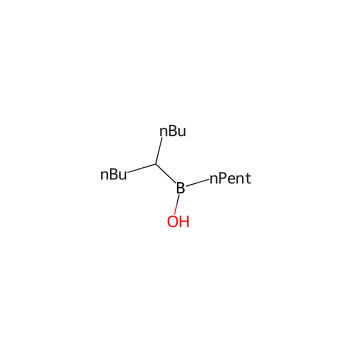 CCCCCB(O)C(CCCC)CCCC